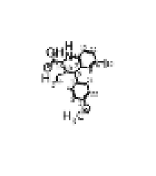 COc1ccc(C2c3cc(I)ccc3NC(C(=O)O)C2C)cc1